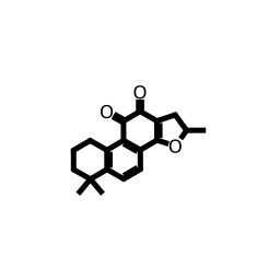 CC1CC2=C(O1)c1ccc3c(c1C(=O)C2=O)CCCC3(C)C